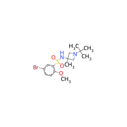 COc1ccc(Br)cc1S(=O)(=O)NC1(C)CN(C(C)(C)C)C1